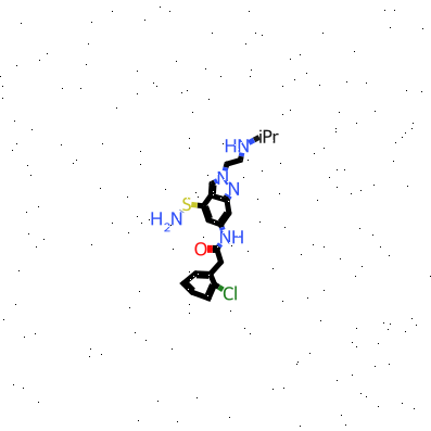 CC(C)NCCn1cc2c(SN)cc(NC(=O)Cc3ccccc3Cl)cc2n1